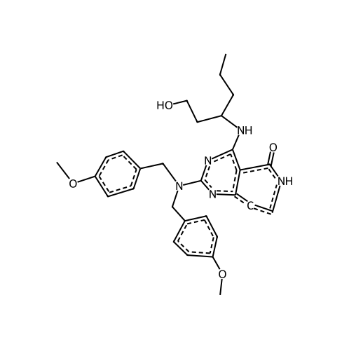 CCCC(CCO)Nc1nc(N(Cc2ccc(OC)cc2)Cc2ccc(OC)cc2)nc2cc[nH]c(=O)c12